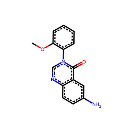 COc1ccccc1-n1cnc2ccc(N)cc2c1=O